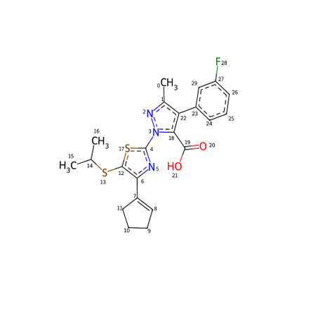 Cc1nn(-c2nc(C3=CCCC3)c(SC(C)C)s2)c(C(=O)O)c1-c1cccc(F)c1